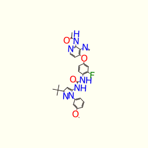 C=Nc1c(Oc2ccc(NC(=O)Nc3cc(C(C)(C)C)nn3-c3cccc(OC)c3)c(F)c2)ccnc1NC(C)=O